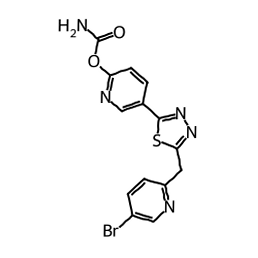 NC(=O)Oc1ccc(-c2nnc(Cc3ccc(Br)cn3)s2)cn1